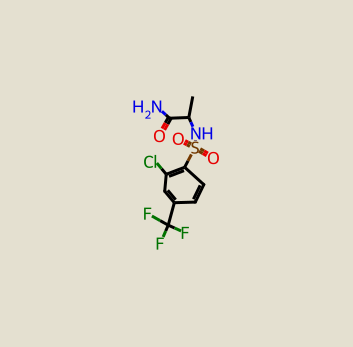 CC(NS(=O)(=O)c1ccc(C(F)(F)F)cc1Cl)C(N)=O